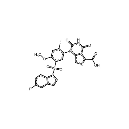 COc1cc(F)c(-n2c(=O)[nH]c(=O)c3c(C(=O)O)scc32)cc1S(=O)(=O)n1ccc2cc(F)ccc21